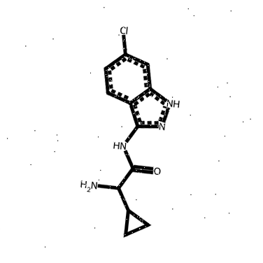 NC(C(=O)Nc1n[nH]c2cc(Cl)ccc12)C1CC1